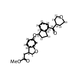 COC(=O)CC1COc2cc(O[C@@H]3CCc4c(C(=O)C5CCOCC5)cccc43)ccc21